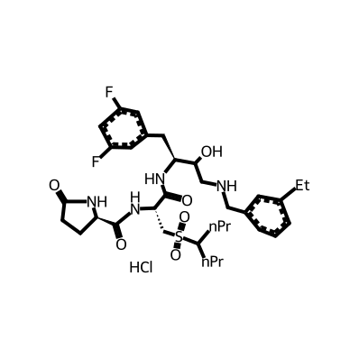 CCCC(CCC)S(=O)(=O)C[C@H](NC(=O)[C@H]1CCC(=O)N1)C(=O)N[C@@H](Cc1cc(F)cc(F)c1)C(O)CNCc1cccc(CC)c1.Cl